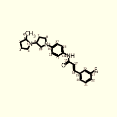 CC1CCCN1C1CCN(c2ccc(NC(=O)/C=C/c3cccc(F)c3)cc2)C1